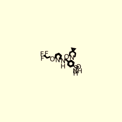 N=[SH](=O)c1ccc(C(=O)Nc2cccc(OCCC(F)(F)F)n2)c(N2CCC3(CC2)CC3)c1